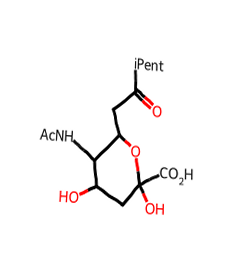 CCCC(C)C(=O)CC1OC(O)(C(=O)O)CC(O)C1NC(C)=O